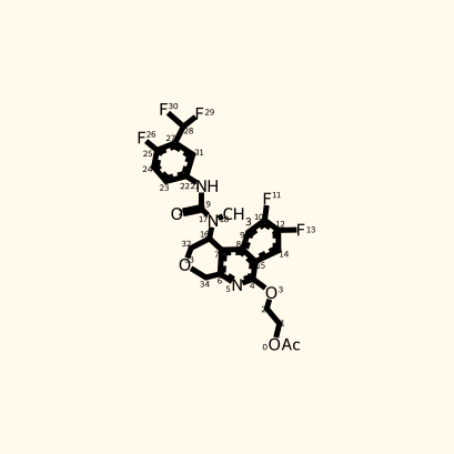 CC(=O)OCCOc1nc2c(c3cc(F)c(F)cc13)C(N(C)C(=O)Nc1ccc(F)c(C(F)F)c1)COC2